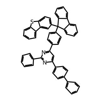 c1ccc(-c2ccc(-c3cc(-c4ccc(C5(c6ccc7sc8ccccc8c7c6)c6ccccc6-c6ccccc65)cc4)nc(-c4ccccc4)n3)cc2)cc1